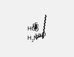 CCCCCCCCCCCCCOC(CC)NCCCN.O=C(O)C(F)(F)F